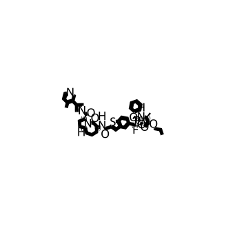 CCCOC(=O)[C@H](C)N[P@](=O)(Oc1ccccc1)[C@@H](F)c1ccc2sc(C(=O)N[C@H]3CCC[C@H]4CC[C@@H](C(=O)N5CC(c6cnccc6C)C5)N4C3=O)cc2c1